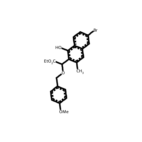 CCOC(=O)C(OCc1ccc(OC)cc1)c1c(C)cc2cc(Br)ccc2c1O